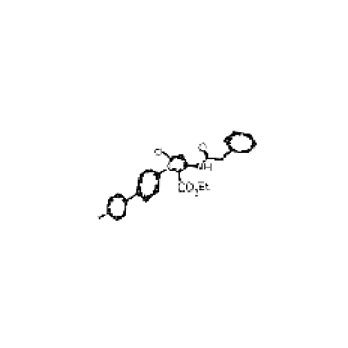 CCOC(=O)c1c(NC(=O)Cc2ccccc2)cc(Cl)n1-c1ccc(-c2ccc(C)cc2)cc1